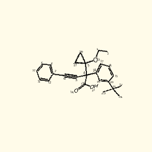 CCOC1(C(C#Cc2ccccc2)(C(=O)O)c2cccc(C(C)(C)C)c2)CC1